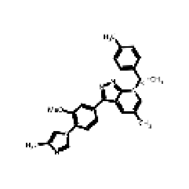 COc1cc(-c2nnc3n([C@@H](C)c4ccc(C)cc4)cc(C)cc2-3)ccc1-n1cnc(C)c1